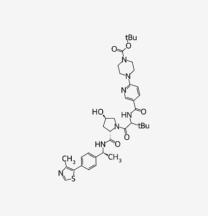 Cc1ncsc1-c1ccc([C@H](C)NC(=O)[C@@H]2C[C@@H](O)CN2C(=O)C(NC(=O)c2ccc(N3CCN(C(=O)OC(C)(C)C)CC3)nc2)C(C)(C)C)cc1